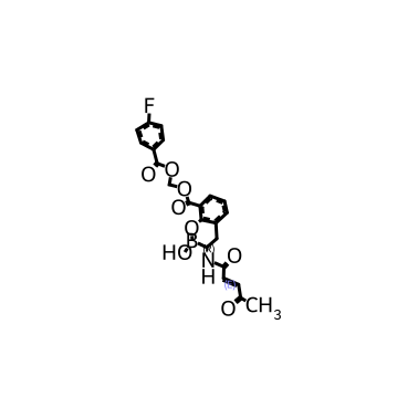 CC(=O)/C=C/C(=O)N[C@H]1Cc2cccc(C(=O)OCOC(=O)c3ccc(F)cc3)c2OB1O